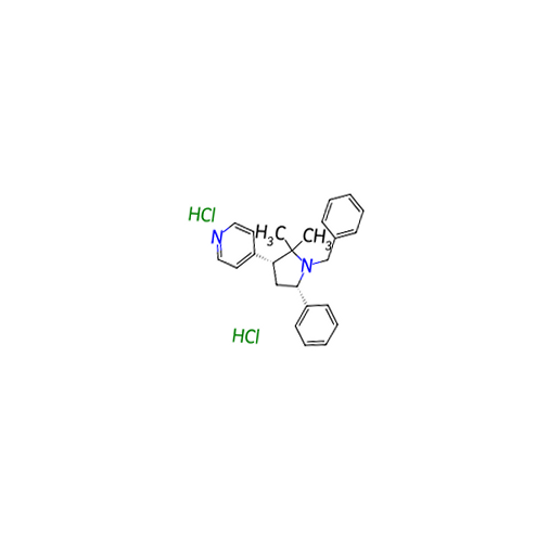 CC1(C)[C@@H](c2ccncc2)C[C@@H](c2ccccc2)N1Cc1ccccc1.Cl.Cl